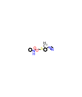 Cc1c(Cn2ccnc2)cccc1SCCOC(=O)Nc1ccccc1